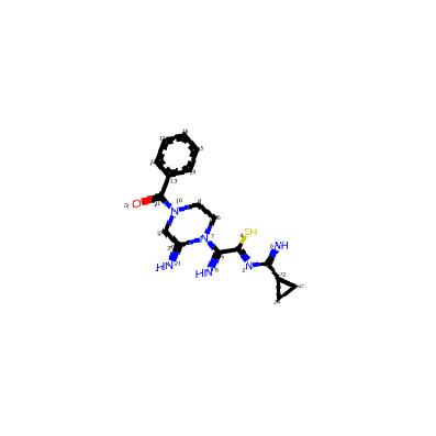 N=C(/N=C(\S)C(=N)N1CCN(C(=O)c2ccccc2)CC1=N)C1CC1